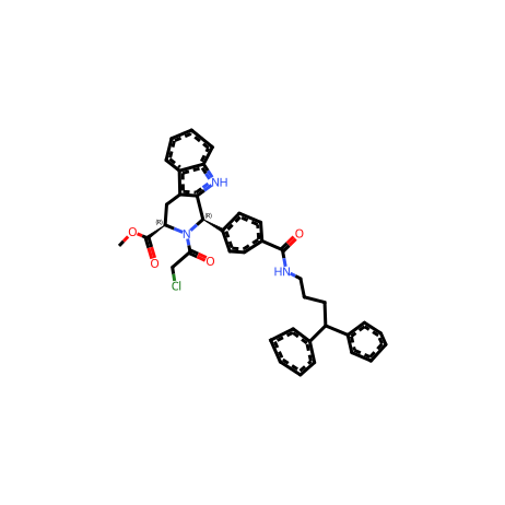 COC(=O)[C@H]1Cc2c([nH]c3ccccc23)[C@@H](c2ccc(C(=O)NCCCC(c3ccccc3)c3ccccc3)cc2)N1C(=O)CCl